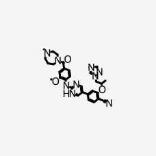 COc1cc(C(=O)N2CCCN(C)CC2)ccc1Nc1ncc(-c2ccc(C#N)c(OC(C)Cn3cncn3)c2)cn1